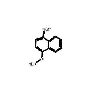 CCCCCCCCc1ccc(SCCCC)c2ccccc12